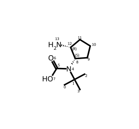 CC(C)(C)N(C(=O)O)[C@H]1CCC[C@H]1N